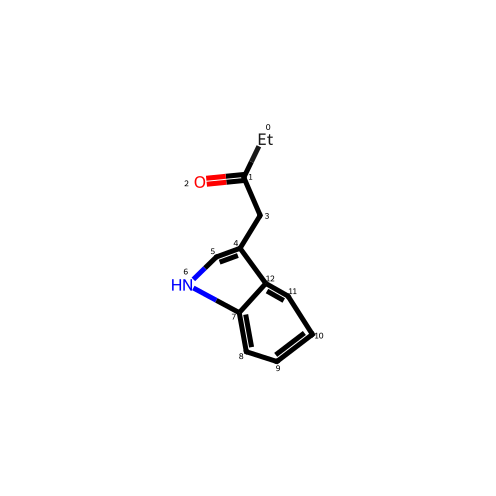 CCC(=O)Cc1c[nH]c2ccccc12